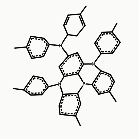 CC1=CCC(N(c2ccc(C)cc2)c2cc3c4c(c2)N(c2ccc(C)cc2)c2ccc(C)cc2B4c2cc(C)ccc2N3c2ccc(C)cc2)C=C1